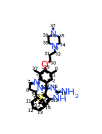 Cc1cc(C2(N3N=CCC3c3ccccc3)N=C(N)Nc3ccsc32)cc(C)c1OCCCN1CCN(C)CC1